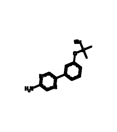 CC(C)(C)[Si](C)(C)Oc1cccc(-c2cnc(N)cn2)c1